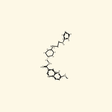 COc1ccc2ncc(C(=O)OC[C@H]3CC[C@H](NCCSc4cccs4)CC3)cc2n1